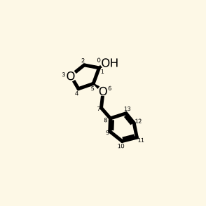 O[C@@H]1COC[C@@H]1OCc1ccccc1